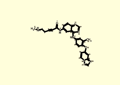 CNCCC#CC(=O)Nc1ccc2ncnc(Nc3ccc(Oc4ccn5ncnc5c4)c(C)c3)c2c1